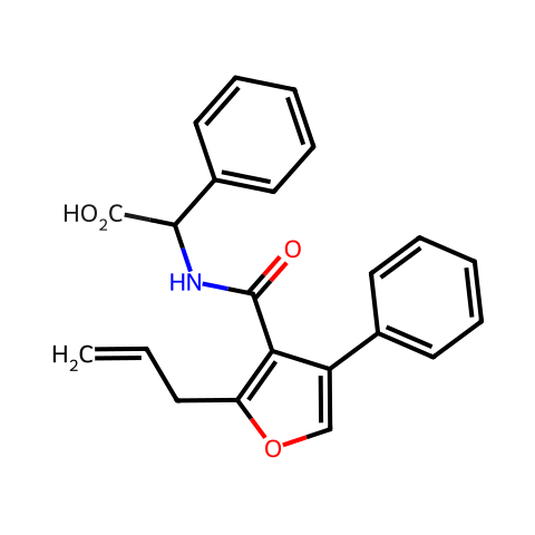 C=CCc1occ(-c2ccccc2)c1C(=O)NC(C(=O)O)c1ccccc1